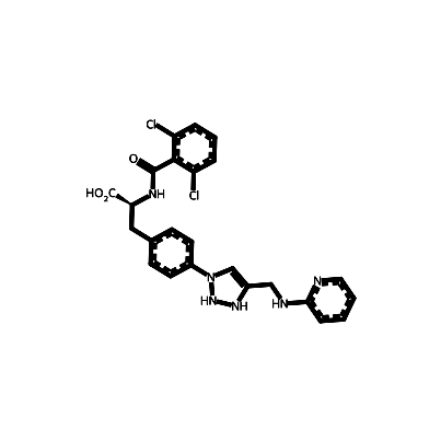 O=C(N[C@@H](Cc1ccc(N2C=C(CNc3ccccn3)NN2)cc1)C(=O)O)c1c(Cl)cccc1Cl